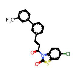 O=C(C=Cc1cccc(-c2cccc(C(F)(F)F)c2)c1)n1c(=O)sc2cc(Cl)ccc21